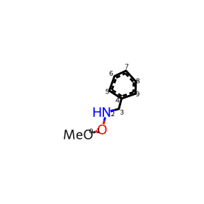 COONCc1ccccc1